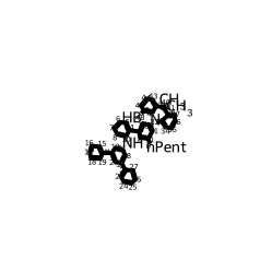 CCCCCc1cc(-c2ccccc2Nc2cc(-c3ccccc3)cc(-c3ccccc3)c2)c2c(c1)N1c3ccccc3C(C)(C)c3cccc(c31)B2